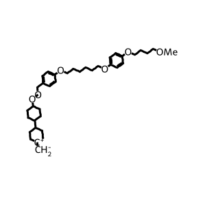 [CH2-][C+]1CCC(C2CCC(OOCc3ccc(OCCCCCCOc4ccc(OCCCCOC)cc4)cc3)CC2)CC1